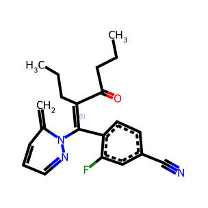 C=C1C=CC=NN1/C(=C(\CCC)C(=O)CCC)c1ccc(C#N)cc1F